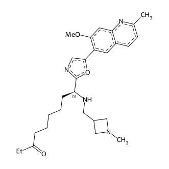 CCC(=O)CCCCC[C@H](NCC1CN(C)C1)c1ncc(-c2cc3ccc(C)nc3cc2OC)o1